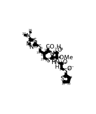 CO[C@@]1(NC(=O)C[S+]([O-])c2cccs2)C(=O)N2C(C(=O)O)=C(CSc3nnc(N(C)C)s3)CS[C@H]21